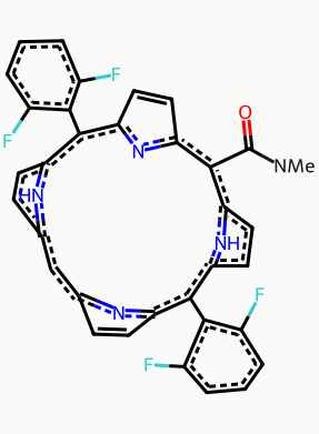 CNC(=O)c1c2nc(c(-c3c(F)cccc3F)c3ccc(cc4nc(c(-c5c(F)cccc5F)c5ccc1[nH]5)C=C4)[nH]3)C=C2